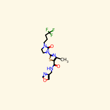 Cc1nc(N2CCN(CCCC(F)(F)F)C2=O)sc1C(=O)NCc1cocn1